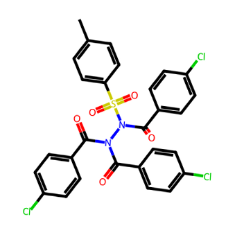 Cc1ccc(S(=O)(=O)N(C(=O)c2ccc(Cl)cc2)N(C(=O)c2ccc(Cl)cc2)C(=O)c2ccc(Cl)cc2)cc1